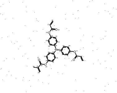 C=CC(=O)Oc1ccc(N(c2ccc(OC(=O)C=C)cc2)c2ccc(OC(=O)C(=C)C)cc2)cc1